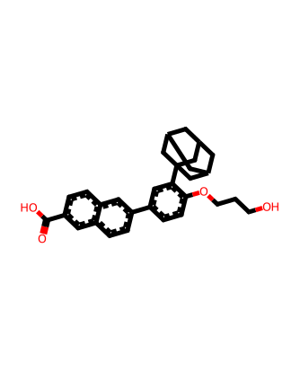 O=C(O)c1ccc2cc(-c3ccc(OCCCO)c(C45CC6CC(CC(C6)C4)C5)c3)ccc2c1